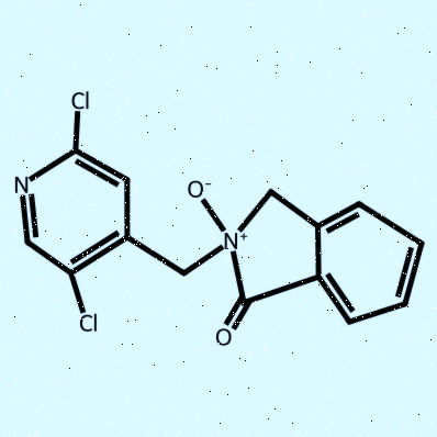 O=C1c2ccccc2C[N+]1([O-])Cc1cc(Cl)ncc1Cl